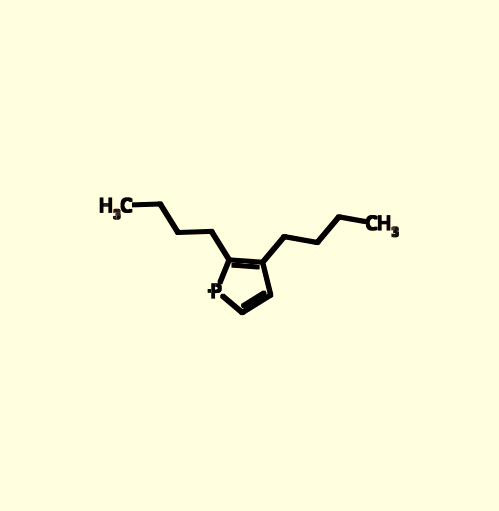 CCCCC1=C(CCCC)[P]C=C1